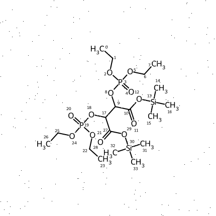 CCOP(=O)(OCC)OC(C(=O)O[Si](C)(C)C)C(OP(=O)(OCC)OCC)C(=O)O[Si](C)(C)C